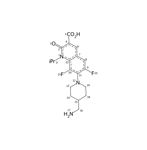 CC(C)n1c(=O)c(C(=O)O)cc2cc(F)c(N3CCC(CN)CC3)c(F)c21